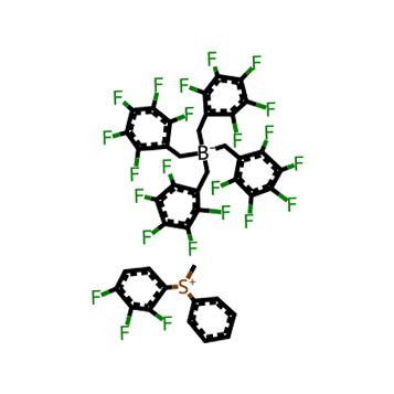 C[S+](c1ccccc1)c1ccc(F)c(F)c1F.Fc1c(F)c(F)c(C[B-](Cc2c(F)c(F)c(F)c(F)c2F)(Cc2c(F)c(F)c(F)c(F)c2F)Cc2c(F)c(F)c(F)c(F)c2F)c(F)c1F